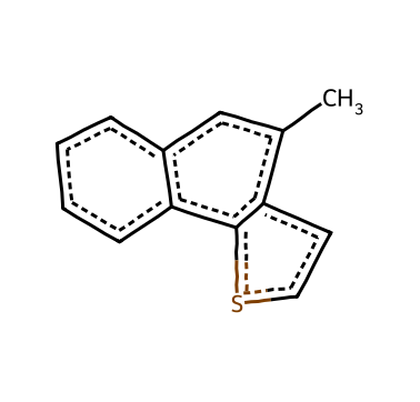 Cc1cc2ccccc2c2sccc12